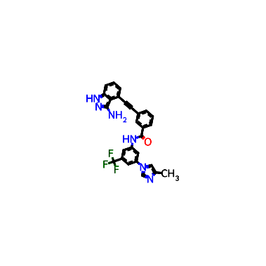 Cc1cn(-c2cc(NC(=O)c3cccc(C#Cc4cccc5[nH]nc(N)c45)c3)cc(C(F)(F)F)c2)cn1